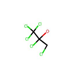 [O]C(Cl)(CCl)C(Cl)(Cl)Cl